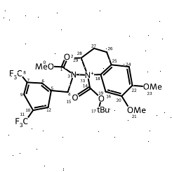 COC(=O)N(Cc1cc(C(F)(F)F)cc(C(F)(F)F)c1)[N+]1(C(=O)OC(C)(C)C)c2cc(OC)c(OC)cc2CCC1C